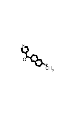 COc1ccc2cc(C(=O)c3ccncc3)ccc2c1